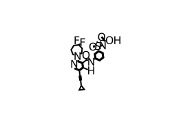 Cc1c(C#CC2CC2)cnc(N2CCCC(F)(F)CC2)c1C(=O)Nc1cccc(S(C)(=O)=NC(=O)O)c1